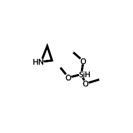 C1CN1.CO[SiH](OC)OC